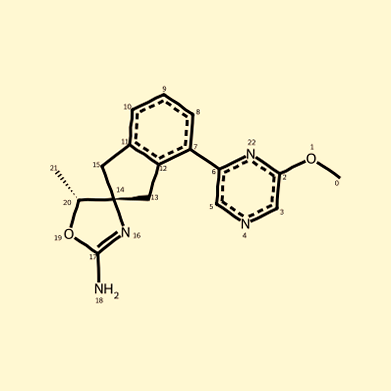 COc1cncc(-c2cccc3c2C[C@@]2(C3)N=C(N)O[C@@H]2C)n1